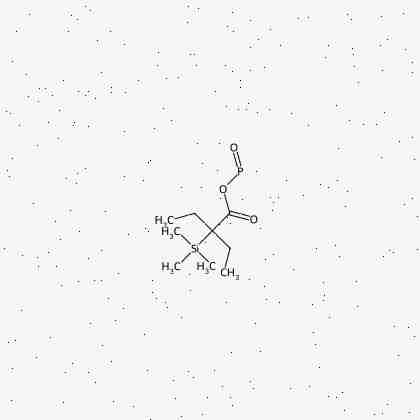 CCC(CC)(C(=O)OP=O)[Si](C)(C)C